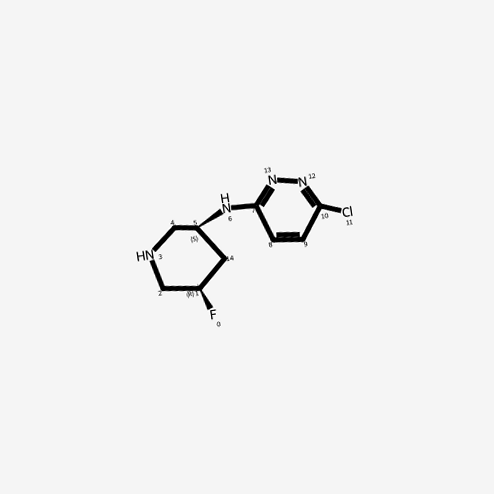 F[C@H]1CNC[C@@H](Nc2ccc(Cl)nn2)C1